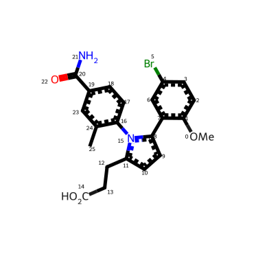 COc1ccc(Br)cc1-c1ccc(CCC(=O)O)n1-c1ccc(C(N)=O)cc1C